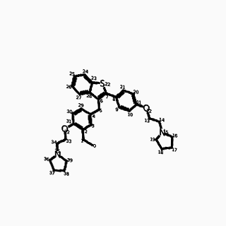 CCc1cc(Cc2c(-c3ccc(OCCN4CCCC4)cc3)sc3ccccc23)ccc1OCCN1CCCC1